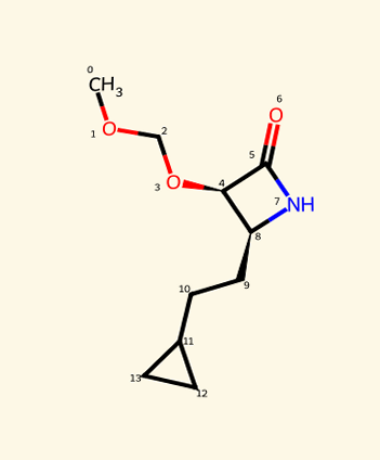 COCO[C@H]1C(=O)N[C@H]1CCC1CC1